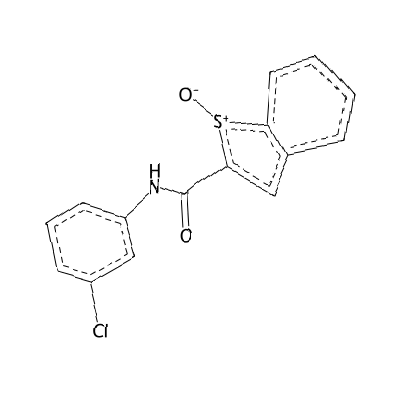 O=C(Nc1cccc(Cl)c1)c1cc2ccccc2[s+]1[O-]